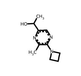 Cc1nc(C(C)O)cnc1N1CCC1